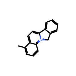 Cc1cccc2c1ccc1[n+]2Cc2ccccc2-1